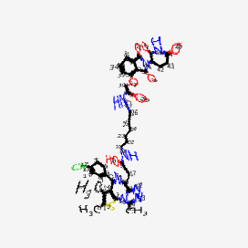 Cc1sc2c(c1C)C(c1ccc(Cl)cc1)=N[C@@H](CC(O)NCCCCCCNC(=O)COc1cccc3c1C(=O)N(C1CCC(=O)NC1=O)C3=O)c1nnc(C)n1-2